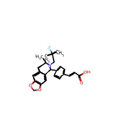 CC1Cc2cc3c(cc2C(c2ccc(/C=C/C(=O)O)cc2)N1CC(C)(C)F)OCO3